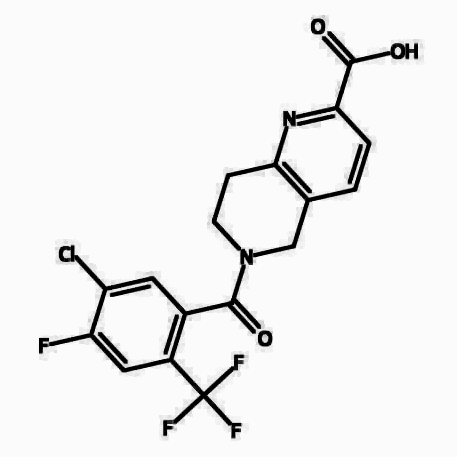 O=C(O)c1ccc2c(n1)CCN(C(=O)c1cc(Cl)c(F)cc1C(F)(F)F)C2